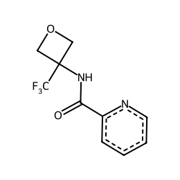 O=C(NC1(C(F)(F)F)COC1)c1ccccn1